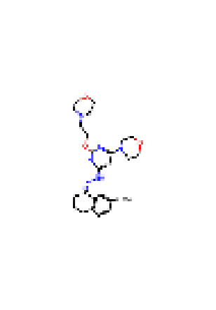 COc1ccc2c(c1)/C(=N\Nc1cc(N3CCOCC3)nc(OCCN3CCOCC3)n1)CCC2